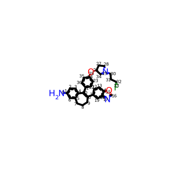 Nc1ccc2c(c1)CCCC(c1ccc3ocnc3c1)=C2c1ccc(O[C@H]2CCN(CCCF)C2)cc1